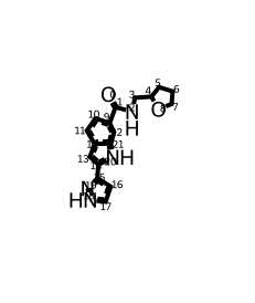 O=C(NCC1CCCO1)c1ccc2cc(-c3cc[nH]n3)[nH]c2c1